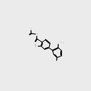 COc1ccc(F)cc1-c1ccc2c(NC(=O)C(C)C)n[nH]c2c1